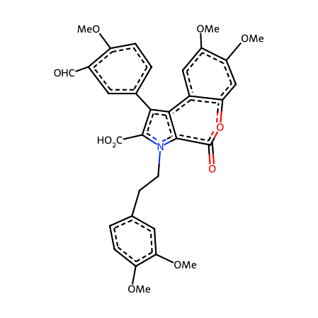 COc1ccc(-c2c(C(=O)O)n(CCc3ccc(OC)c(OC)c3)c3c(=O)oc4cc(OC)c(OC)cc4c23)cc1C=O